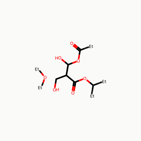 CCC(=O)OC(O)C(CO)C(=O)OC(CC)CC.CCOCC